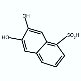 O=S(=O)(O)c1cccc2cc(O)c(O)cc12